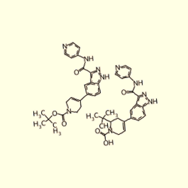 CC(C)(C)C1CC(c2ccc3[nH]nc(C(=O)Nc4ccncc4)c3c2)=CCN1C(=O)O.CC(C)(C)OC(=O)N1CC=C(c2ccc3[nH]nc(C(=O)Nc4ccncc4)c3c2)CC1